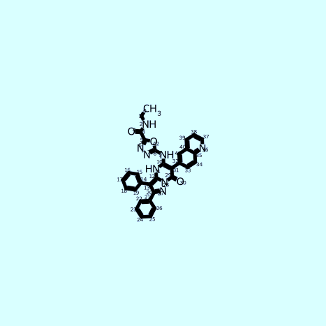 CCNC(=O)c1nnc(Nc2[nH]c3c(-c4ccccc4)c(-c4ccccc4)nn3c(=O)c2-c2ccc3ncccc3c2)o1